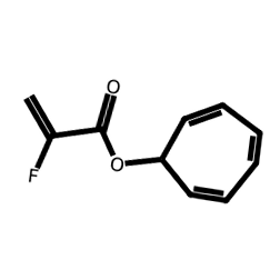 C=C(F)C(=O)OC1C=CC=CC=C1